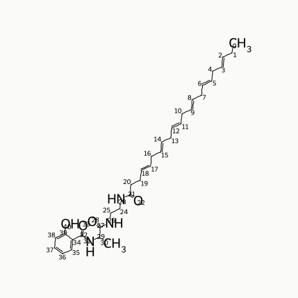 CCC=CCC=CCC=CCC=CCC=CCC=CCCC(=O)NCCNC(=O)C(C)NC(=O)c1ccccc1O